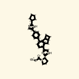 CC(C)(C)OC(=O)N1CCC[C@H]1c1nc(-c2ccc(-c3ccc(-c4cnc(C5CCCC5)[nH]4)cc3)c3c2CC2CCC32)c[nH]1